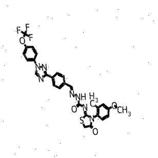 COc1ccc(N2C(=O)CS/C2=N\C(=O)N/N=C/c2ccc(-c3ncn(-c4ccc(OC(F)(F)F)cc4)n3)cc2)c(C)c1